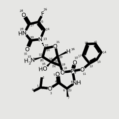 CC(C)OC(=O)[C@H](C)NP(=O)(Oc1ccccc1)OC1[C@H]2O[C@@H](n3cc(F)c(=O)[nH]c3=O)[C@H](N)[C@@]12O